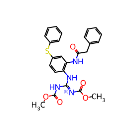 COC(=O)/N=C(/NC(=O)OC)Nc1ccc(Sc2ccccc2)cc1NC(=O)Cc1ccccc1